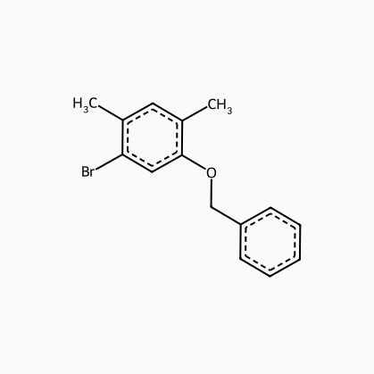 Cc1cc(C)c(OCc2ccccc2)cc1Br